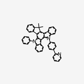 CC1(C)c2ccccc2-c2c1c1c3ccccc3n(-c3ccc(-c4ccccn4)cc3)c1c1c3ccccc3n(-c3ccccc3)c21